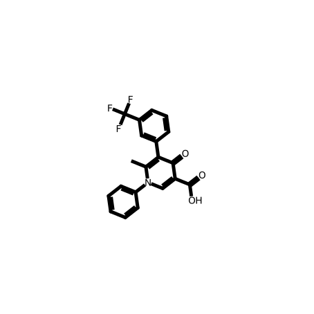 Cc1c(-c2cccc(C(F)(F)F)c2)c(=O)c(C(=O)O)cn1-c1ccccc1